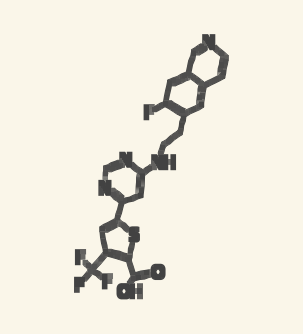 O=C(O)c1sc(-c2cc(NCCc3cc4ccncc4cc3F)ncn2)cc1C(F)(F)F